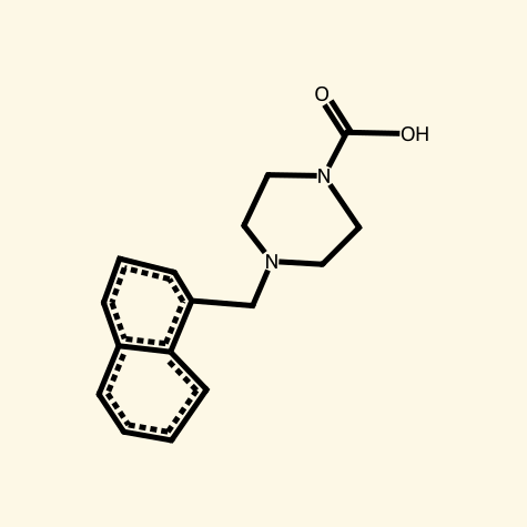 O=C(O)N1CCN(Cc2cccc3ccccc23)CC1